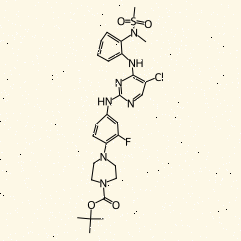 CN(c1ccccc1Nc1nc(Nc2ccc(N3CCN(C(=O)OC(C)(C)C)CC3)c(F)c2)ncc1Cl)S(C)(=O)=O